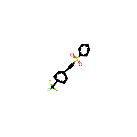 O=S(=O)(C#Cc1ccc(C(F)(F)F)cc1)c1ccccc1